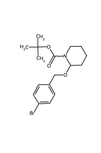 CC(C)(C)OC(=O)N1CCCCC1OCc1ccc(Br)cc1